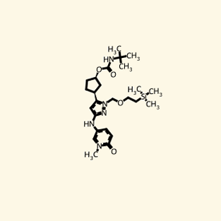 Cn1cc(Nc2cc([C@H]3CC[C@@H](OC(=O)NC(C)(C)C)C3)n(COCC[Si](C)(C)C)n2)ccc1=O